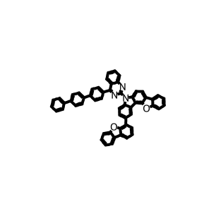 c1ccc(-c2ccc(-c3ccc(-c4nc(-n5c6ccc(-c7cccc8c7oc7ccccc78)cc6c6c7oc8ccccc8c7ccc65)nc5ccccc45)cc3)cc2)cc1